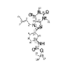 CC(C)=CCn1c([C@@H]2CCC[C@H](NC(=O)OC(C)(C)C)C2)nc2c1c(=O)n(C)c(=O)n2C